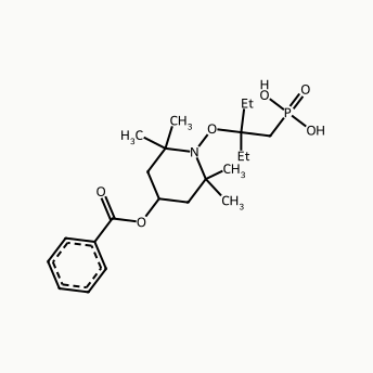 CCC(CC)(CP(=O)(O)O)ON1C(C)(C)CC(OC(=O)c2ccccc2)CC1(C)C